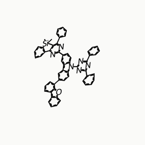 C[Si]1(C)c2ccccc2-c2nc(-c3ccc4c(c3)c3cc(-c5cccc6c5oc5ccccc56)ccc3n4-c3nc(-c4ccccc4)nc(-c4ccccc4)n3)nc(-c3ccccc3)c21